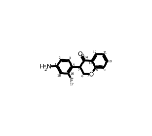 Nc1ccc(C2COc3ccccc3C2=O)c(F)c1